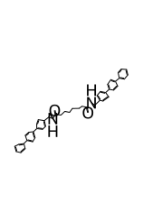 O=C(CCCCCCC(=O)NCc1ccc(-c2ccc(-c3ccccc3)cc2)cc1)NCc1ccc(-c2ccc(-c3ccccc3)cc2)cc1